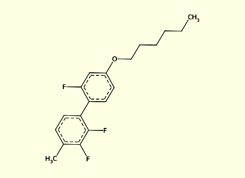 CCCCCCOc1ccc(-c2ccc(C)c(F)c2F)c(F)c1